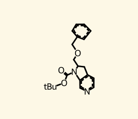 CC(C)(C)OC(=O)N1c2cnccc2CC1COCc1ccccc1